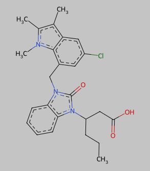 CCCC(CC(=O)O)n1c(=O)n(Cc2cc(Cl)cc3c(C)c(C)n(C)c23)c2ccccc21